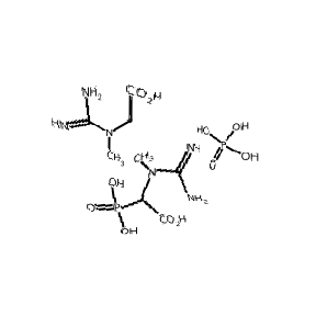 CN(C(=N)N)C(C(=O)O)P(=O)(O)O.CN(CC(=O)O)C(=N)N.O=P(O)(O)O